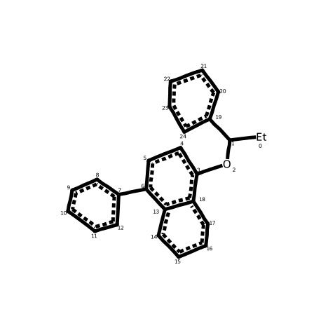 CCC(Oc1ccc(-c2ccccc2)c2ccccc12)c1ccccc1